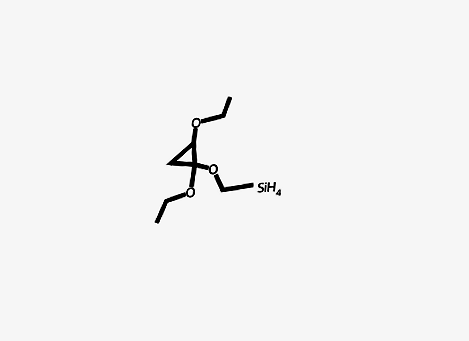 CCOC1CC1(OCC)OCC.[SiH4]